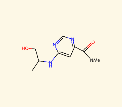 CNC(=O)c1cc(NC(C)CO)ncn1